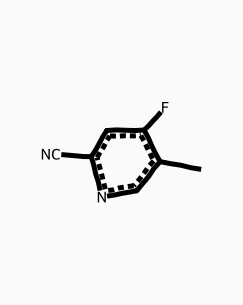 Cc1cnc(C#N)cc1F